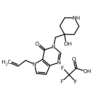 C=CCn1ccc2ncn(CC3(O)CCNCC3)c(=O)c21.O=C(O)C(F)(F)F